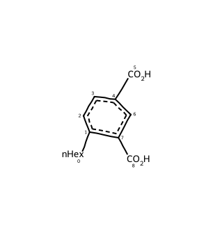 CCCCCCc1ccc(C(=O)O)cc1C(=O)O